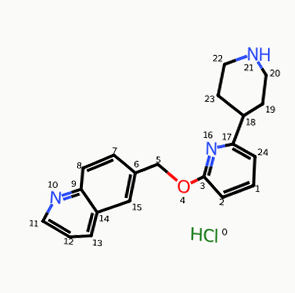 Cl.c1cc(OCc2ccc3ncccc3c2)nc(C2CCNCC2)c1